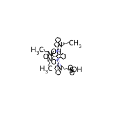 CCCCC[n+]1c(/C=C/C2=C(c3c(O)n(CCCC)c(=O)n(CCCC)c3=O)C(=C/C=C3\C=Cc4ccccc4N3CCCCS(=O)(=O)O)/c3ccccc32)ccc2ccccc21